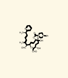 C/C(=C\C=C\[C@@H](C)c1ccccn1)[C@H](C=O)[C@H](C)/C=C/[C@H](OC(=O)N1CCN(C(C)C)CC1)[C@](C)(O)CC[C@H](O)CC=O